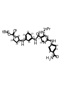 CCCNc1nc(Nc2ccc(C(N)=O)cc2)ncc1C(=O)Nc1cccc(NC2CCN(C(=O)OC(C)(C)C)C2)c1